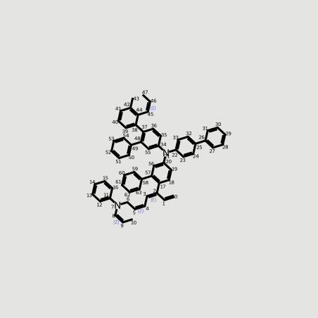 C=C/C(=C\C=C/CN(/C=C\C)c1ccccc1)c1ccc(N(c2ccc(-c3ccccc3)cc2)c2ccc(-c3cccc(C)c3/C=C\C)c(-c3ccccc3)c2)cc1-c1ccccc1